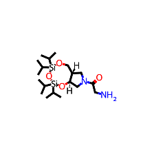 CC(C)[Si]1(C(C)C)OC[C@@H]2CN(C(=O)CN)C[C@H]2O[Si](C(C)C)(C(C)C)O1